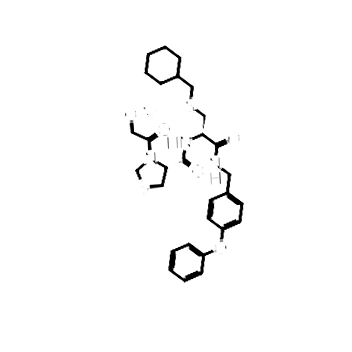 CC(=O)OCC(=O)N1CSC[C@H]1C(=O)N[C@@H](CSCC1CCCCC1)C(=O)NCc1ccc(Oc2ccccc2)cc1